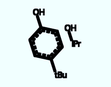 CC(C)(C)c1ccc(O)cc1.CC(C)O